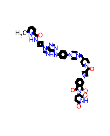 Cc1cccc(C(=O)NC2CC(n3cnc4c(Nc5ccc(N6CCN(CC7CCN(C(=O)C8CN(c9ccc%10c(c9)C(=O)N([C@H]9CCC(=O)NC9=O)C%10=O)C8)CC7)CC6)cc5)ncnc43)C2)n1